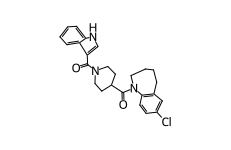 O=C(c1c[nH]c2ccccc12)N1CCC(C(=O)N2CCCCc3cc(Cl)ccc32)CC1